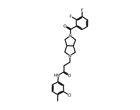 Cc1ccc(NC(=O)CCN2CC3CN(C(=O)c4cccc(F)c4F)CC3C2)cc1Cl